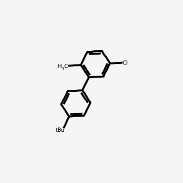 Cc1ccc(Cl)cc1-c1ccc(C(C)(C)C)cc1